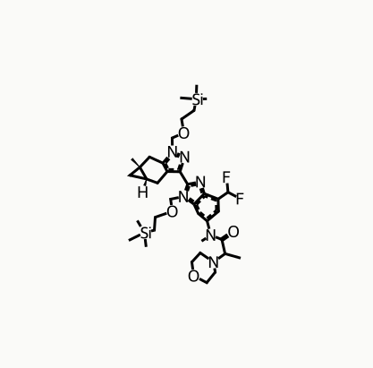 CC(C(=O)N(C)c1cc(C(F)F)c2nc(-c3nn(COCC[Si](C)(C)C)c4c3C[C@@H]3C[C@]3(C)C4)n(COCC[Si](C)(C)C)c2c1)N1CCOCC1